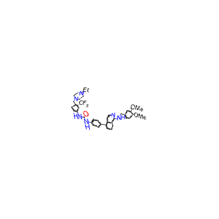 CCN1CCN(Cc2ccc(NC(=O)Nc3ccc(-c4cccc5c(NCc6ccc(OC)c(OC)c6)nccc45)cc3)cc2C(F)(F)F)CC1